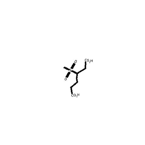 CS(=O)(=O)C(CCC(=O)O)CC(=O)O